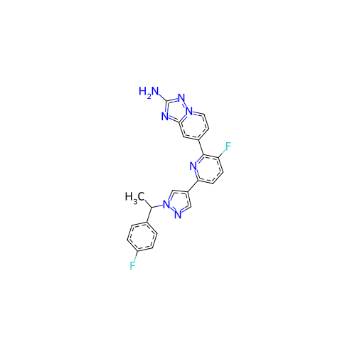 CC(c1ccc(F)cc1)n1cc(-c2ccc(F)c(-c3ccn4nc(N)nc4c3)n2)cn1